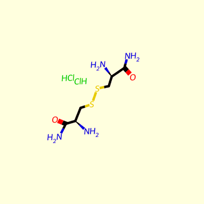 Cl.Cl.NC(=O)[C@H](N)CSSC[C@@H](N)C(N)=O